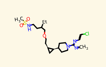 C=N/C(=N\C=C\Cl)N1CCC([C@H]2C[C@H]2CCOCC(CC)CCNS(C)(=O)=O)CC1